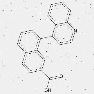 O=C(O)c1ccc2cccc(-c3ccnc4ccccc34)c2c1